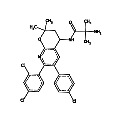 CC1(C)CC(NC(=O)C(C)(C)N)c2cc(-c3ccc(Cl)cc3)c(-c3ccc(Cl)cc3Cl)nc2O1